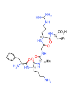 CC[C@H](C)[C@H](NC(=O)[C@H](CCCCN)NC(=O)[C@@H](N)Cc1ccccc1)C(=O)NCC(=O)N[C@@H](CCCNC(=N)N)C(=O)N[C@@H](CC(C)C)C(=O)O